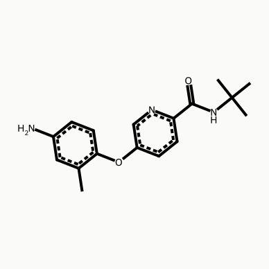 Cc1cc(N)ccc1Oc1ccc(C(=O)NC(C)(C)C)nc1